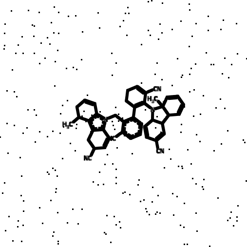 CC1CC=Cc2c1c1c(n2Cc2c(C#N)cccc2C2=C(N3C4C=CC(C#N)=CC4C4C=CC=CC43C)C(C#N)=CCC2)C=CC(C#N)C1